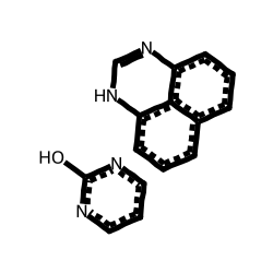 C1=Nc2cccc3cccc(c23)N1.Oc1ncccn1